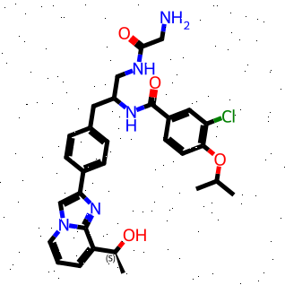 CC(C)Oc1ccc(C(=O)NC(CNC(=O)CN)Cc2ccc(-c3cn4cccc([C@H](C)O)c4n3)cc2)cc1Cl